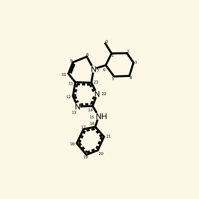 CC1CCCCC1N1CC=Cc2cnc(Nc3ccccc3)nc21